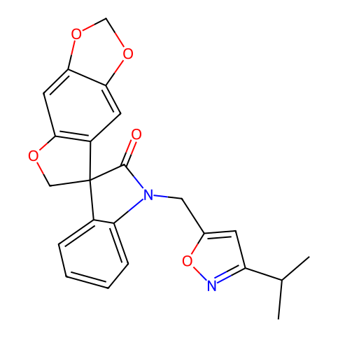 CC(C)c1cc(CN2C(=O)C3(COc4cc5c(cc43)OCO5)c3ccccc32)on1